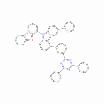 c1ccc(-c2ccc3c(c2)c2c(-c4cccc(-c5nc(-c6ccccc6)nc(-c6ccccc6)n5)c4)cccc2n3-c2cccc3c2oc2ccccc23)cc1